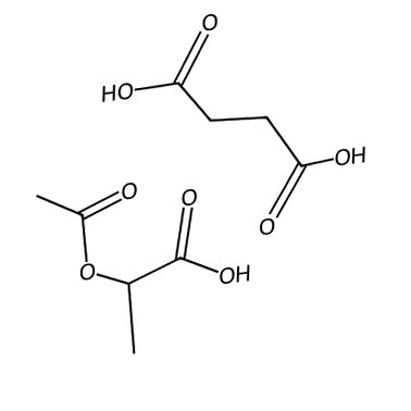 CC(=O)OC(C)C(=O)O.O=C(O)CCC(=O)O